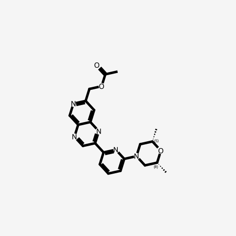 CC(=O)OCc1cc2nc(-c3cccc(N4C[C@@H](C)O[C@@H](C)C4)n3)cnc2cn1